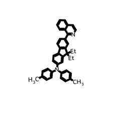 CCC1(CC)c2cc(-c3nccc4ccccc34)ccc2-c2ccc(N(c3ccc(C)cc3)c3ccc(C)cc3)cc21